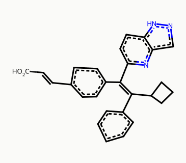 O=C(O)C=Cc1ccc(C(=C(c2ccccc2)C2CCC2)c2ccc3[nH]ncc3n2)cc1